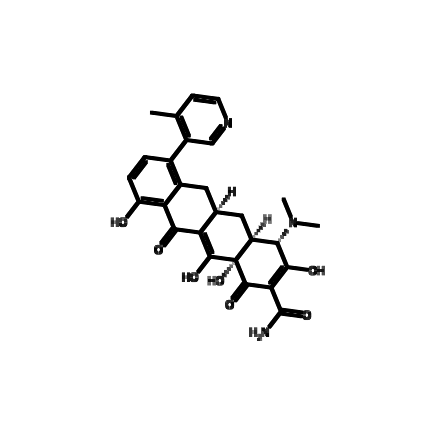 Cc1ccncc1-c1ccc(O)c2c1C[C@H]1C[C@H]3[C@H](N(C)C)C(O)=C(C(N)=O)C(=O)[C@@]3(O)C(O)=C1C2=O